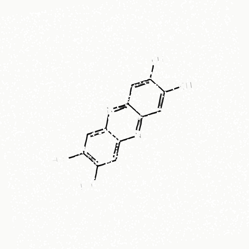 Cc1cc2nc3cc(C)c(C)cc3nc2cc1C